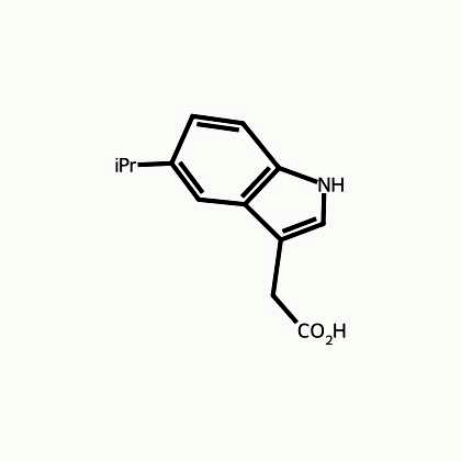 CC(C)c1ccc2[nH]cc(CC(=O)O)c2c1